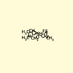 COc1ccc(C(=O)Nc2ccc3c(c2)C(C)N(C)CC3(C)C)cc1C(F)(F)F